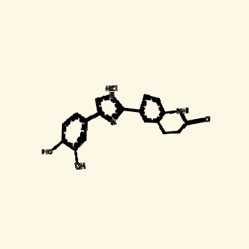 Cl.O=C1CCc2cc(-c3nc(-c4ccc(O)c(O)c4)cs3)ccc2N1